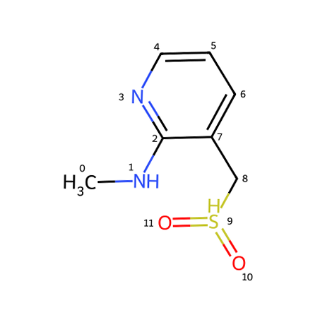 CNc1ncccc1C[SH](=O)=O